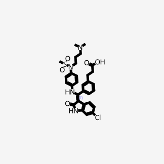 CN(C)CCCN(c1ccc(N/C(=C2\C(=O)Nc3cc(Cl)ccc32)c2cccc(CCC(=O)O)c2)cc1)S(C)(=O)=O